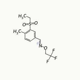 CCS(=O)(=O)c1cc(/C=N/OCC(F)(F)F)ccc1C